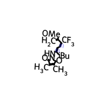 C=C(OC)/C(=C\C=C(\NN1C(=O)C(C)=C(C)C1=O)C(C)CC)C(F)(F)F